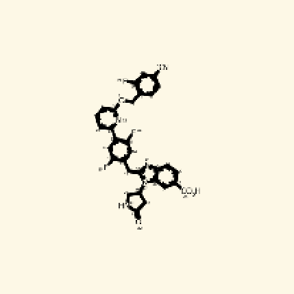 N#Cc1ccc(COc2cccc(-c3cc(F)c(Cc4nc5ccc(C(=O)O)cc5n4C4CNC(=O)C4)cc3F)n2)c(F)c1